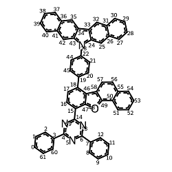 c1ccc(-c2nc(-c3ccccc3)nc(-c3ccc(-c4ccc(-n5c6cc7ccccc7cc6c6cc7ccccc7cc65)cc4)c4c3oc3c5ccccc5ccc34)n2)cc1